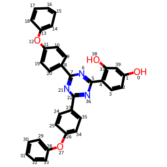 Oc1ccc(-c2nc(-c3ccc(Oc4ccccc4)cc3)nc(-c3ccc(Oc4ccccc4)cc3)n2)c(O)c1